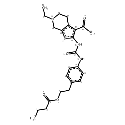 CCCC(=O)OCCc1ccc(NC(=O)Nc2sc3c(c2C(N)=O)CCN(CC)C3)cc1